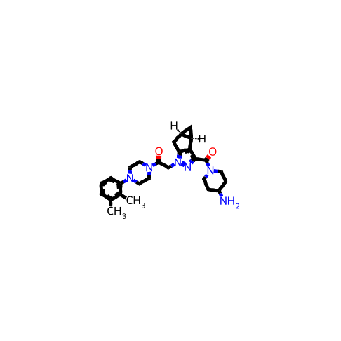 Cc1cccc(N2CCN(C(=O)Cn3nc(C(=O)N4CCC(N)CC4)c4c3C[C@H]3C[C@@H]43)CC2)c1C